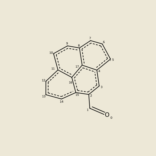 O=Cc1cc2[c]ccc3ccc4cccc1c4c23